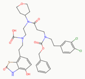 O=C(O)N(CCc1ccc(O)c2[nH]c(=O)sc12)CCN(C(=O)CCN(CCc1ccc(Cl)c(Cl)c1)C(=O)OCc1ccccc1)C1CCOCC1